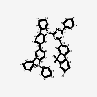 CC1(C)c2cc(F)ccc2-c2ccc(-c3nc(-c4ccccc4)nc(-n4c5ccccc5c5ccc(-c6ccc7c(c6)c6ccccc6n7-c6ccccc6)cc54)n3)cc21